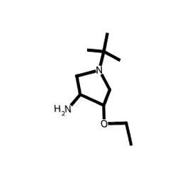 CCOC1CN(C(C)(C)C)CC1N